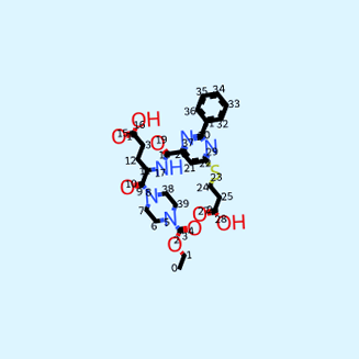 CCOC(=O)N1CCN(C(=O)C(CCC(=O)O)NC(=O)c2cc(SCCC(=O)O)nc(-c3ccccc3)n2)CC1